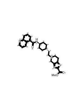 COC(=O)c1nc2c(s1)CCN(CC[C@H]1CC[C@H](NC(=O)c3cccc4ncccc34)CC1)C2